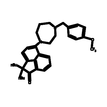 CCCCC1(CCCC)C(=O)c2cccc3c(N4CCCN(Cc5ccc(OC(F)(F)F)cc5)CC4)ccc1c23